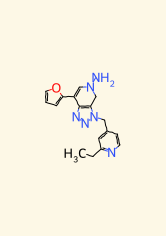 CCc1cc(Cn2nnc3c2CN(N)C=C3c2ccco2)ccn1